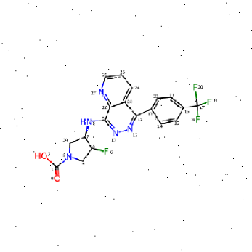 O=C(O)N1C[C@H](F)[C@H](Nc2nnc(-c3ccc(C(F)(F)F)cc3)c3cccnc23)C1